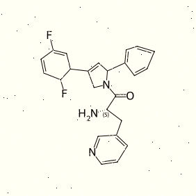 N[C@@H](Cc1cccnc1)C(=O)N1CC(C2C=C(F)C=CC2F)=CC1c1ccccc1